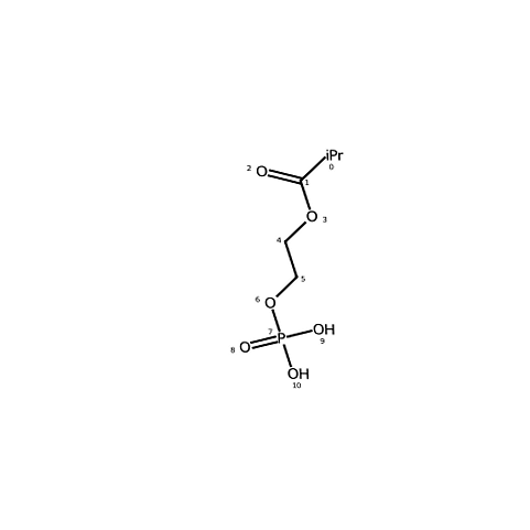 CC(C)C(=O)OCCOP(=O)(O)O